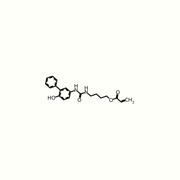 C=CC(=O)OCCCCNC(=O)Nc1ccc(O)c(-c2ccccc2)c1